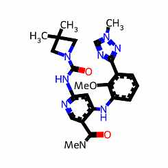 CNC(=O)c1cnc(NC(=O)N2CC(C)(C)C2)cc1Nc1cccc(-c2ncn(C)n2)c1OC